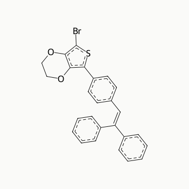 Brc1sc(-c2ccc(C=C(c3ccccc3)c3ccccc3)cc2)c2c1OCCO2